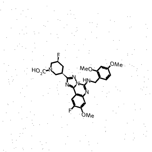 COc1ccc(CNc2nc3cc(OC)c(F)cc3c3nc([C@@H]4C[C@H](F)CN(C(=O)O)C4)nn23)c(OC)c1